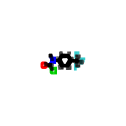 CN(C(=O)Cl)c1ccc(C(F)(F)F)cc1